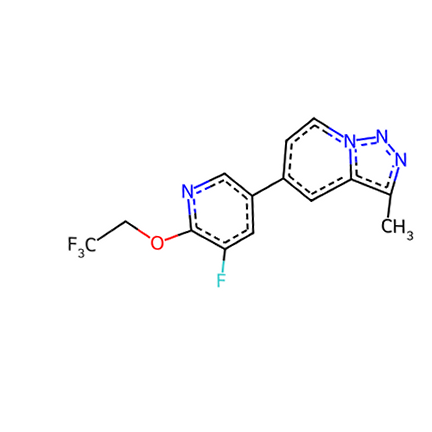 Cc1nnn2ccc(-c3cnc(OCC(F)(F)F)c(F)c3)cc12